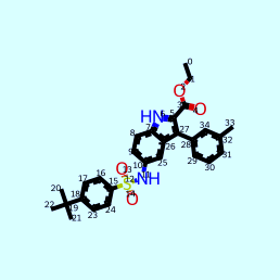 CCOC(=O)c1[nH]c2ccc(NS(=O)(=O)c3ccc(C(C)(C)C)cc3)cc2c1-c1cccc(C)c1